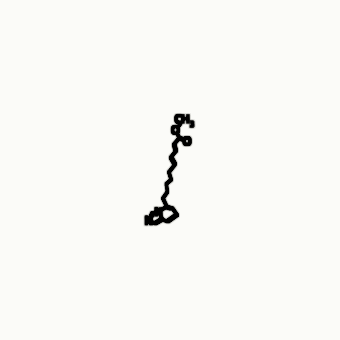 CCOC(=O)C=CC=CCCCCCc1cccc2cncn12